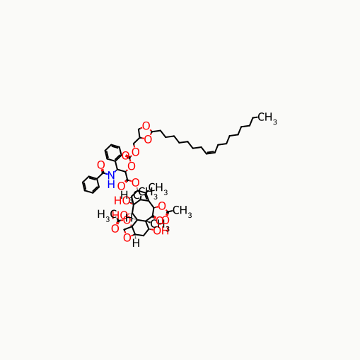 CCCCCCCC/C=C\CCCCCCCC1OCC(COC(=O)O[C@@H](C(=O)O[C@H]2C[C@@]3(O)[C@@H](O)[C@@H]4[C@]5(OC(C)=O)CO[C@@H]5C[C@H](O)[C@@]4(C)C(=O)[C@H](OC(C)=O)C(=C2C)C3(C)C)[C@@H](NC(=O)c2ccccc2)c2ccccc2)O1